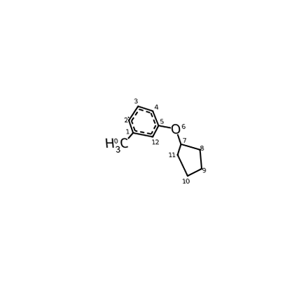 Cc1[c]ccc(OC2CCCC2)c1